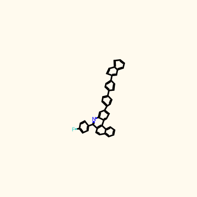 Fc1ccc(-c2nc3cc(-c4ccc(-c5ccc(-c6ccc7ccccc7c6)cc5)cc4)ccc3c3c2ccc2ccccc23)cc1